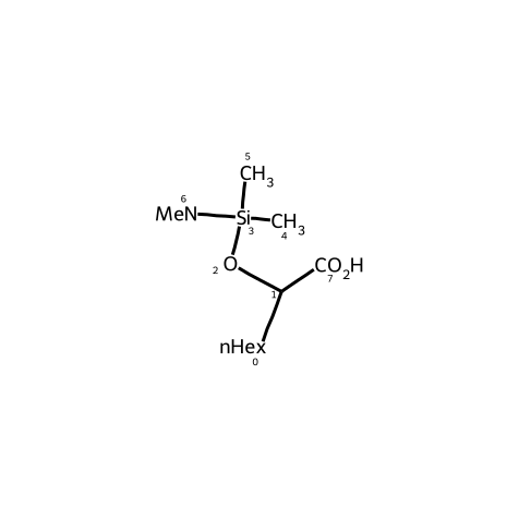 CCCCCCC(O[Si](C)(C)NC)C(=O)O